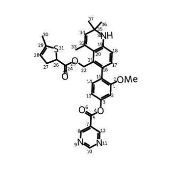 COc1cc(OC(=O)c2cncnc2)ccc1-c1ccc2c(c1COC(=O)C1CC=C(C)S1)C(C)=CC(C)(C)N2